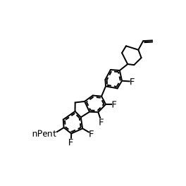 C=CC1CCC(c2ccc(-c3cc4c(c(F)c3F)-c3c(cc(CCCCC)c(F)c3F)C4)cc2F)CC1